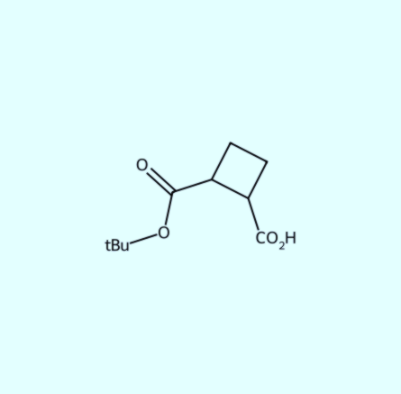 CC(C)(C)OC(=O)C1CCC1C(=O)O